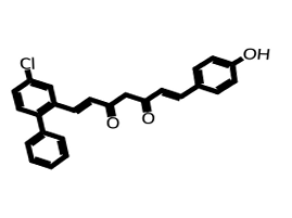 O=C(C=Cc1ccc(O)cc1)CC(=O)C=Cc1cc(Cl)ccc1-c1ccccc1